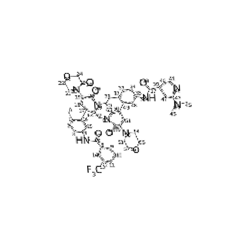 Cc1ccc(NC(=O)c2cccc(C(F)(F)F)c2)cc1-c1cc(N2CCOCC2=O)c(=O)n(CCc2ccc(NC(=O)c3ccnc(N(C)C)c3)cc2-c2cc(N3CCOCC3)c(=O)n(C)c2)c1